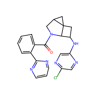 O=C(c1ccccc1-c1ncccn1)N1CC2CC23CC(Nc2cnc(Cl)cn2)C13